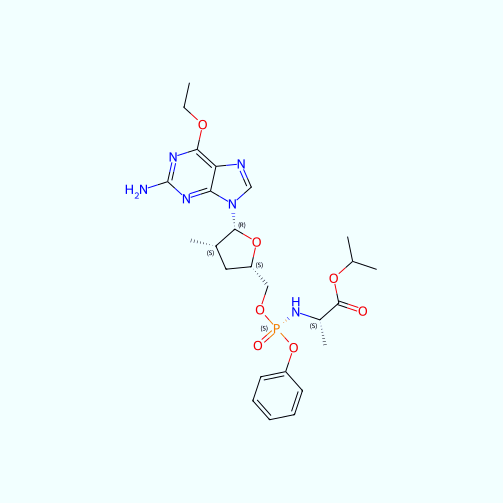 CCOc1nc(N)nc2c1ncn2[C@@H]1O[C@H](CO[P@@](=O)(N[C@@H](C)C(=O)OC(C)C)Oc2ccccc2)C[C@@H]1C